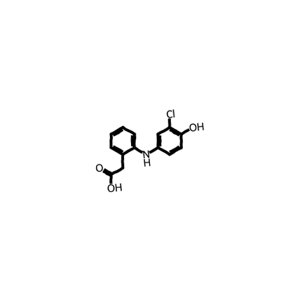 O=C(O)Cc1ccccc1Nc1ccc(O)c(Cl)c1